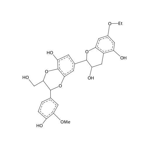 CCOc1cc(O)c2c(c1)OC(c1cc(O)c3c(c1)OC(c1ccc(O)c(OC)c1)C(CO)O3)C(O)C2